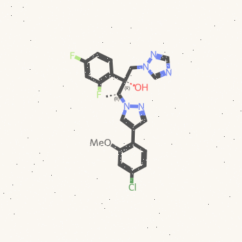 COc1cc(Cl)ccc1-c1cnn([C@H](C)[C@](O)(Cn2cncn2)c2ccc(F)cc2F)c1